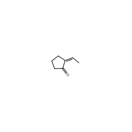 [CH2]C=C1CCCC1=O